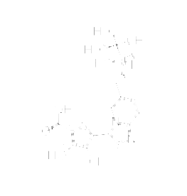 Cc1c(-c2cnc3ccc(CO[Si](C)(C)C(C)(C)C)cn23)sc(C(=O)O)c1O